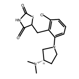 CN(C)[C@H]1CCN(c2cccc(Cl)c2CC2SC(=O)NC2=O)C1